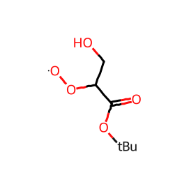 CC(C)(C)OC(=O)C(CO)O[O]